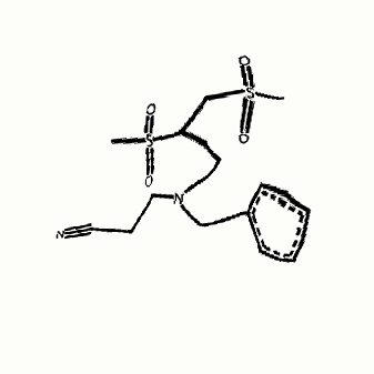 CS(=O)(=O)CC(CN(CCC#N)Cc1ccccc1)S(C)(=O)=O